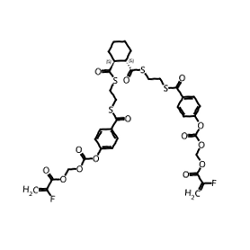 C=C(F)C(=O)OCOC(=O)Oc1ccc(C(=O)SCCSC(=O)[C@H]2CCCC[C@@H]2C(=O)SCCSC(=O)c2ccc(OC(=O)OCOC(=O)C(=C)F)cc2)cc1